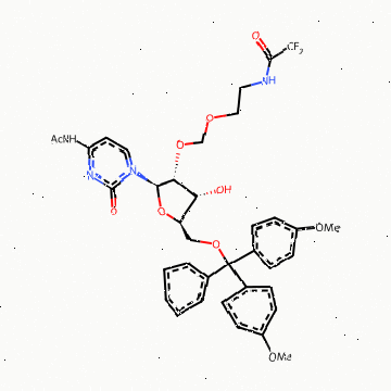 COc1ccc(C(OC[C@H]2O[C@@H](n3ccc(NC(C)=O)nc3=O)[C@H](OCOCCNC(=O)C(F)(F)F)[C@@H]2O)(c2ccccc2)c2ccc(OC)cc2)cc1